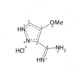 COc1c[nH]nc1C(=N)N.Cl